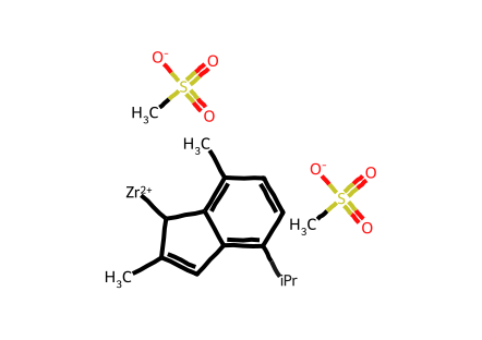 CC1=Cc2c(C(C)C)ccc(C)c2[CH]1[Zr+2].CS(=O)(=O)[O-].CS(=O)(=O)[O-]